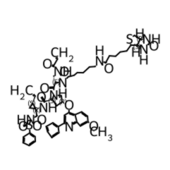 C=CC(=O)NC[C@H](NC(=O)CCCCCNC(=O)CCCCC1SC[C@@H]2NC(=O)N[C@H]12)C(=O)N1C[C@H](Oc2cc(-c3ccccc3)nc3cc(OC)ccc23)C[C@H]1C(=O)N[C@]1(C(=O)NS(=O)(=O)c2ccccc2)C[C@H]1C=C